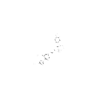 COc1cc(C=CC(=O)NN2CCCN(c3ccc(Cl)cc3)C2=O)cnc1-n1cnc(C)c1